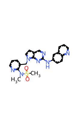 CN(c1ncccc1Cn1ccc2cnc(Nc3ccc4ncccc4c3)nc21)S(C)(=O)=O